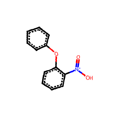 O=[N+](O)c1ccccc1Oc1ccccc1